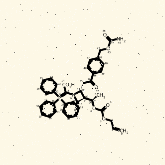 C=CCOC(=O)O[C@H](C)[C@H]1C(=O)N(C(C(=O)O)=P(c2ccccc2)(c2ccccc2)c2ccccc2)[C@@H]1CC(=O)c1ccc(COC(N)=O)cc1